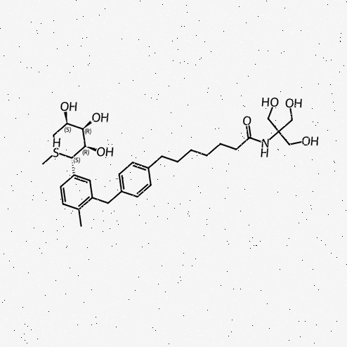 Cc1ccc([C@H]2[C@H](O)[C@H](O)[C@H](O)C[SH]2C)cc1Cc1ccc(CCCCCCC(=O)NC(CO)(CO)CO)cc1